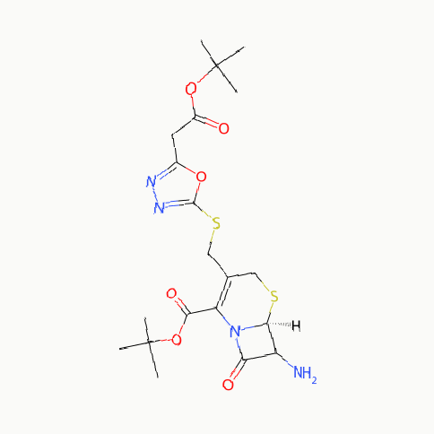 CC(C)(C)OC(=O)Cc1nnc(SCC2=C(C(=O)OC(C)(C)C)N3C(=O)C(N)[C@@H]3SC2)o1